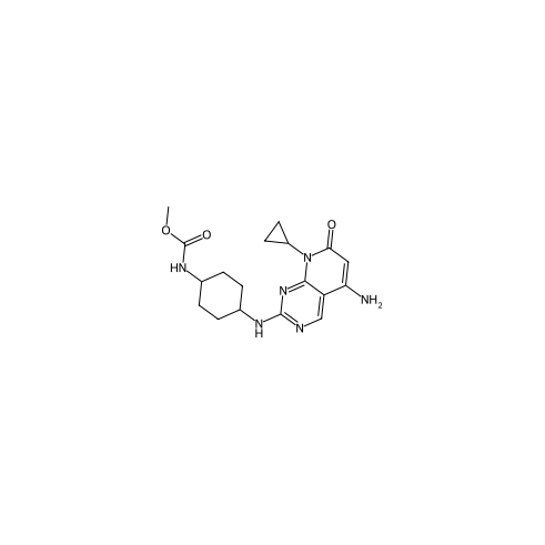 COC(=O)NC1CCC(Nc2ncc3c(N)cc(=O)n(C4CC4)c3n2)CC1